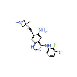 CN1CC(C)(C#Cc2cc3ncnc(Nc4cccc(Cl)c4F)c3cc2N)C1